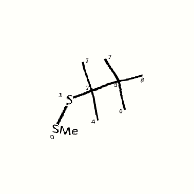 CSSC(C)(C)C(C)(C)C